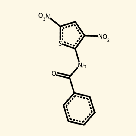 O=C(Nc1sc([N+](=O)[O-])cc1[N+](=O)[O-])c1ccccc1